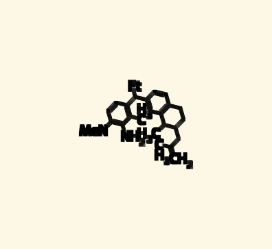 C=C(C)CC1CCc2ccc(C(CC)c3ccc(NC)c(N)c3C)cc2C1C